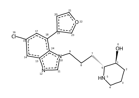 O[C@H]1CCCN[C@@H]1CCCn1cnc2cc(Cl)cc(-c3ccoc3)c21